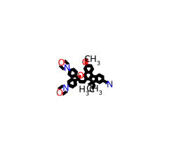 CCC1(CC)c2cc(C#N)ccc2-c2c1c1c(c3cc(OC)ccc23)OC(c2ccc(N3CCOCC3)cc2)(c2ccc(N3CCOCC3)cc2)C=C1